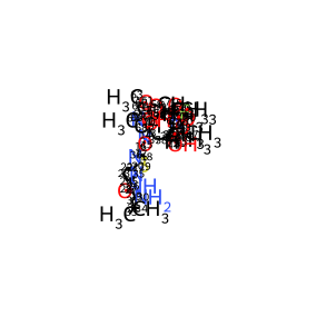 CCC(=O)/N=C1\[C@H](C)C[C@@]2(C)OC/C(=N/OCc3csc(-c4cccc(NC(=O)[C@@H](N)CC(C)C)n4)n3)CC[C@H]([C@H]1C)[C@](C)(O)[C@@H](CC)OC(=O)[C@@](C)(F)C(=O)[C@H](C)[C@H]2O[C@@H]1O[C@H](C)C[C@H](N(C)C)[C@H]1O